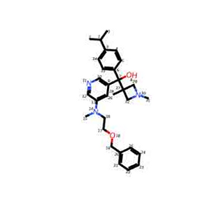 CC(C)c1ccc(C(O)(c2cncc(N(C)CCOCc3ccccc3)c2)C2(C)CN(C)C2)cc1